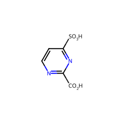 O=C(O)c1nccc(S(=O)(=O)O)n1